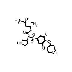 C[C@@H](CC(N)=O)CC(=O)N(C1CCNC1)S(=O)(=O)c1cc(Cl)c(OC2CCNCC2)c(Cl)c1